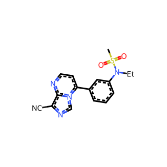 CCN(c1cccc(-c2ccnc3c(C#N)ncn23)c1)S(C)(=O)=O